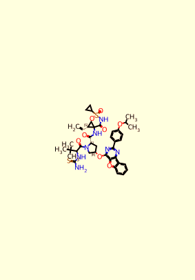 C=C[C@@H]1CC1(NC(=O)[C@@H]1C[C@@H](Oc2nc(-c3ccc(OC(C)C)cc3)nc3c2oc2ccccc23)CN1C(=O)C(NC(N)=S)C(C)(C)C)C(=O)NS(=O)(=O)C1CC1